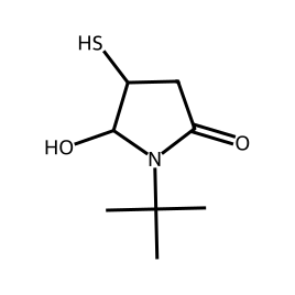 CC(C)(C)N1C(=O)CC(S)C1O